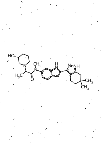 CC(C(=O)N(C)c1ccc2cc(-c3n[nH]c4c3CCC(C)(C)C4)[nH]c2c1)N1CCC[C@@H](O)C1